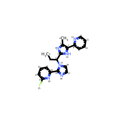 CCC(c1nc(C)c(-c2ccccn2)[nH]1)n1ccnc1-c1cccc(F)n1